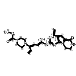 C=C/C(=C\C=C(/N)N/C(N)=N/c1c(C=C)cc2n1CCNC2=O)N1CCN(C(=O)OC(C)(C)C)CC1